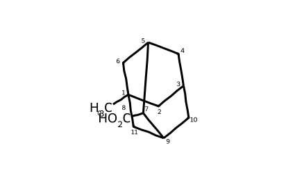 CC12CC3CC(C1)C(C(=O)O)C(C3)C2